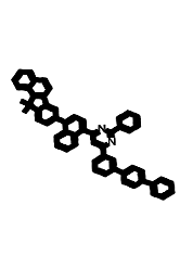 CC1(C)c2ccc(-c3ccc(-c4cc(-c5cccc(-c6ccc(-c7ccccc7)cc6)c5)nc(-c5ccccc5)n4)c4ccccc34)cc2-c2ccc3ccccc3c21